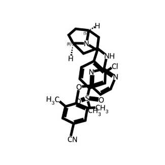 Cc1cc(C#N)cc(C)c1Oc1ccnc(NC2C[C@H]3CC[C@@H](C2)N3Cc2ccc(S(C)(=O)=O)cc2Cl)n1